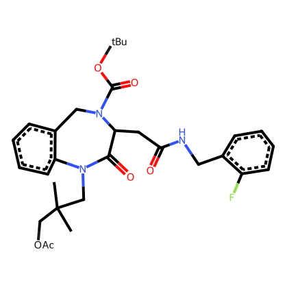 CC(=O)OCC(C)(C)CN1C(=O)C(CC(=O)NCc2ccccc2F)N(C(=O)OC(C)(C)C)Cc2ccccc21